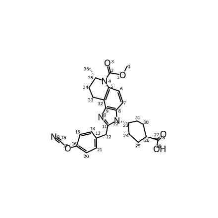 COC(=O)N1c2ccc3c(nc(Cc4ccc(OC#N)cc4)n3[C@H]3CC[C@H](C(=O)O)CC3)c2CC[C@@H]1C